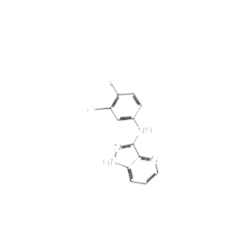 Clc1ccc(Nc2n[nH]c3cccnc23)cc1Cl